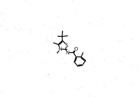 Cc1ccccc1C(=O)/N=c1\sc(C(C)(C)C)c(C)n1C